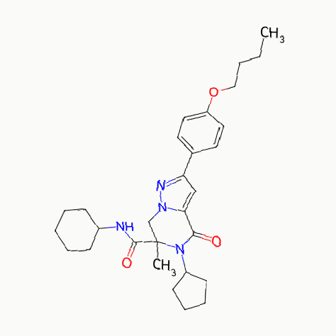 CCCCOc1ccc(-c2cc3n(n2)CC(C)(C(=O)NC2CCCCC2)N(C2CCCC2)C3=O)cc1